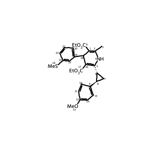 CCOC(=O)C1=C(C)NC([C@@H]2C[C@H]2c2ccc(OC)cc2)=C(C(=O)OCC)C1c1cccc(SC)c1